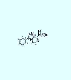 CCCCNc1nccn2c(-c3ccccc3)cnc12